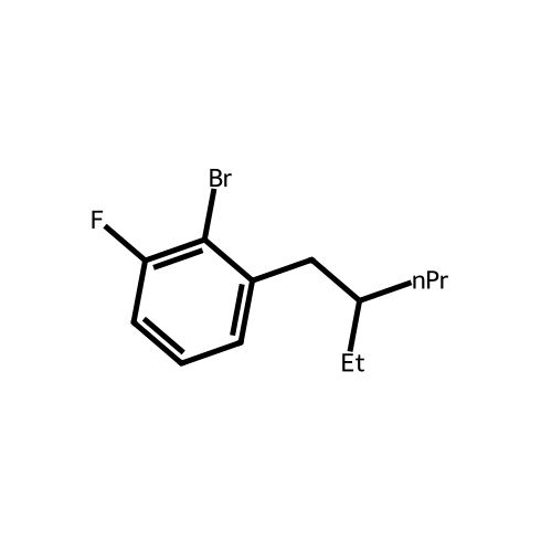 CCCC(CC)Cc1cccc(F)c1Br